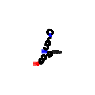 COc1ccc(C2CCc3cc(O)ccc3C2)c(NC(C)Cc2ccc(CCN3CCCCCC3)cc2)c1